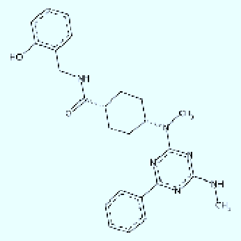 CNc1nc(-c2ccccc2)nc(N(C)[C@H]2CC[C@@H](C(=O)NCc3ccccc3O)CC2)n1